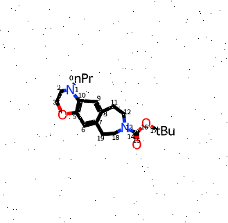 CCCN1CCOc2cc3c(cc21)CCN(C(=O)OC(C)(C)C)CC3